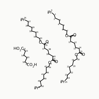 CC(C)CCCCCCCOC(=O)CCCCC(=O)OCCCCCCCC(C)C.CC(C)CCCCCCCOC(=O)CCCCC(=O)OCCCCCCCC(C)C.O=C(O)CCCCC(=O)O